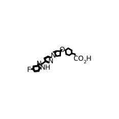 O=C(O)CC1CCC(OC2CC3CC2CN3c2ccc(-c3nc4cc(F)ccc4[nH]3)cn2)CC1